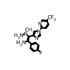 CN(N)/C(=C(\N)c1ccc(F)cc1)c1cn(-c2ccc(C(F)(F)F)cn2)cn1